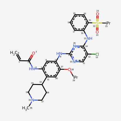 C=CC(=O)Nc1cc(Nc2ncc(Cl)c(Nc3ccccc3S(=O)(=O)C(C)C)n2)c(OC(C)C)cc1C1CCN(C)CC1